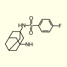 [NH]C12CC3CC(C1)CC(NS(=O)(=O)c1ccc(F)cc1)(C3)C2